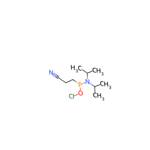 CC(C)N(C(C)C)P(CCC#N)OCl